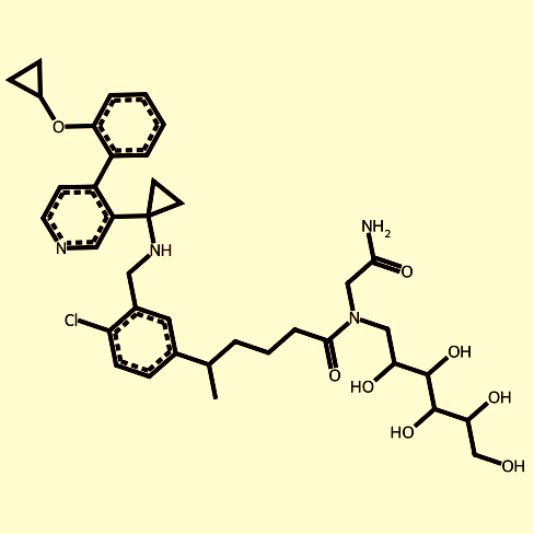 CC(CCCC(=O)N(CC(N)=O)CC(O)C(O)C(O)C(O)CO)c1ccc(Cl)c(CNC2(c3cnccc3-c3ccccc3OC3CC3)CC2)c1